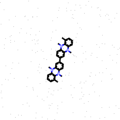 Cc1cccc2c1N(C)c1ccc(-c3ccc4c(c3)N(C)c3cccc(C)c3N4C)cc1N2C